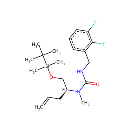 C=CC[C@@H](CO[Si](C)(C)C(C)(C)C)N(C)C(=O)NCc1cccc(F)c1F